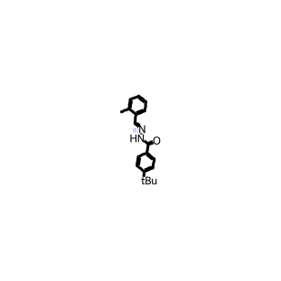 Cc1ccccc1/C=N/NC(=O)c1ccc(C(C)(C)C)cc1